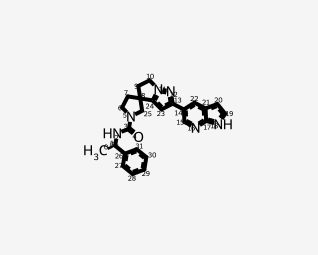 C[C@@H](NC(=O)N1CCC2(CCn3nc(-c4cnc5[nH]ccc5c4)cc32)C1)c1ccccc1